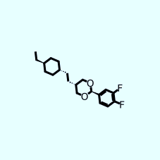 CC[C@H]1CC[C@H](CC[C@H]2CO[C@H](c3ccc(F)c(F)c3)OC2)CC1